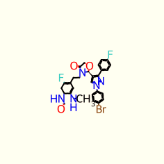 CNC1=CC(CCN2C(=O)CO[C@H]2c2cn(-c3ccc(Br)cc3)nc2-c2ccc(F)cc2)=C(F)CC1NC=O